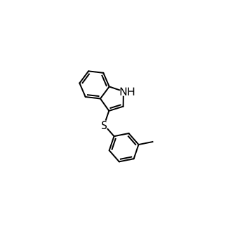 Cc1cccc(Sc2c[nH]c3ccccc23)c1